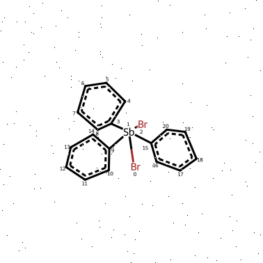 [Br][Sb]([Br])([c]1ccccc1)([c]1ccccc1)[c]1ccccc1